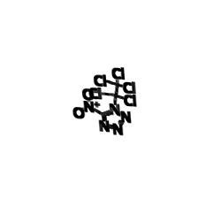 O=[N+]([O-])c1nnnn1C(Cl)(Cl)C(Cl)(Cl)Cl